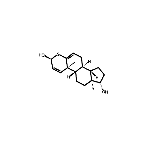 C[C@]12CC[C@H]3[C@@H](CC=C4S[C@H](O)C=C[C@@]43C)[C@@H]1CC[C@@H]2O